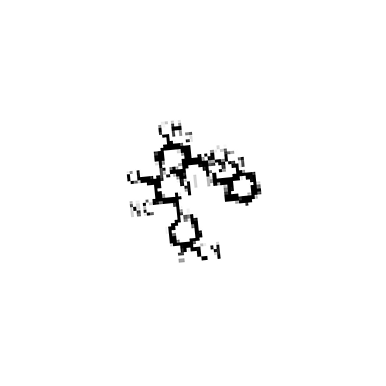 Cc1cc([C@@H](C)Nc2ccccc2C(=O)O)c2nc(N3CCC(F)(C#N)CC3)c(C#N)c(=O)n2c1